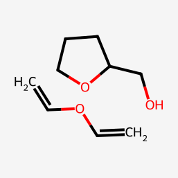 C=COC=C.OCC1CCCO1